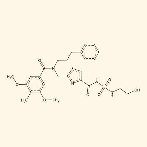 COc1cc(C(=O)N(CCCc2ccccc2)Cc2nc(C(=O)NS(=O)(=O)NCCO)cs2)cc(OC)c1C